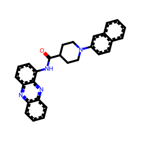 O=C(Nc1cccc2nc3ccccc3nc12)C1CCN(c2ccc3ccccc3c2)CC1